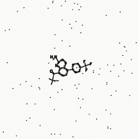 CC(C)(C)C(=O)c1ccc(-c2ccc(C(F)(F)F)cc2)c2ccc(N)nc12